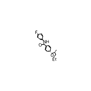 CC[C@@H]1C[C@H](C)[C@@H](c2ccc(C(=O)Nc3ccc(F)cc3)cc2)O1